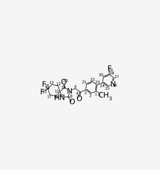 Cc1cc(C(=O)CN2C(=O)NC3(CCC(F)(F)CC3)C2=O)ccc1-c1cncc(F)c1